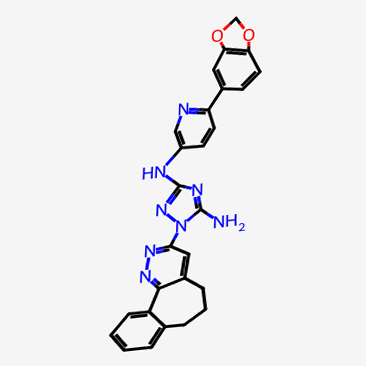 Nc1nc(Nc2ccc(-c3ccc4c(c3)OCO4)nc2)nn1-c1cc2c(nn1)-c1ccccc1CCC2